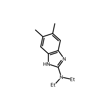 CCN(CC)c1nc2cc(C)c(C)cc2[nH]1